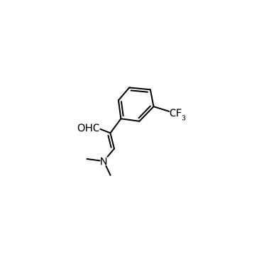 CN(C)C=C(C=O)c1cccc(C(F)(F)F)c1